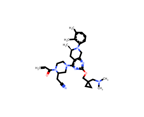 C=CC(=O)N1CCN(c2nc(OCC3(CN(C)C)CC3)nc3c2C[C@@H](C)N(c2cccc(C)c2C)C3)CC1CC#N